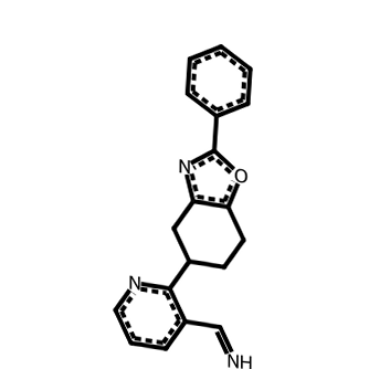 N=Cc1cccnc1C1CCc2oc(-c3ccccc3)nc2C1